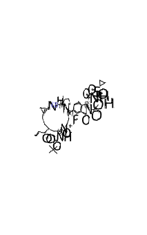 C=CC(=O)C1CCC2=C(C2)/N=C\[C@@H]2CCCN2[C@@H](c2ccc3c(c2F)C(=O)N(C(=O)O)[C@H]3C(=O)NS(=O)(=O)C2CC2)CC[N+](=O)[C@H](NC(=O)OC(C)(C)C)C1